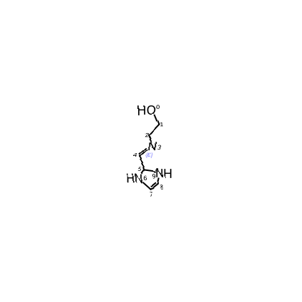 OCC/N=C/C1NC=CN1